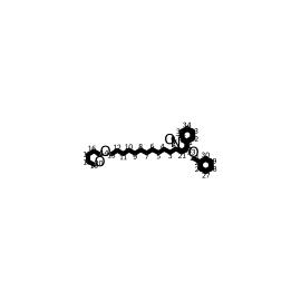 [O-][n+]1c(CCCCCCCCCCCOC2CCCCO2)cc(OCc2ccccc2)c2ccccc21